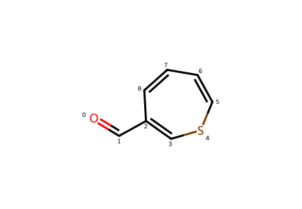 O=CC1=CSC=CC=C1